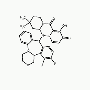 CC1(C)CCN2C(=O)c3c(O)c(=O)ccn3N(C3c4ccccc4N4CCOCC4c4c3ccc(F)c4F)C2C1